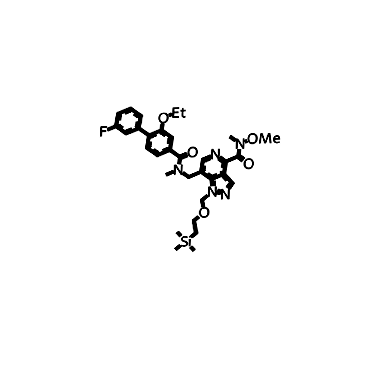 CCOc1cc(C(=O)N(C)Cc2cnc(C(=O)N(C)OC)c3cnn(COCC[Si](C)(C)C)c23)ccc1-c1cccc(F)c1